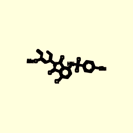 C=C/C(=C\C(=C/C)N1C(=O)c2c(Cl)ccc(NS(=O)(=O)c3ccc(C(C)(C)C)cc3)c2C1=O)OC